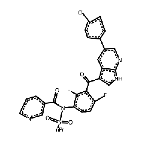 CCCS(=O)(=O)N(C(=O)c1cccnc1)c1ccc(F)c(C(=O)c2c[nH]c3ncc(-c4ccc(Cl)cc4)cc23)c1F